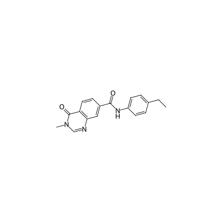 CCc1ccc(NC(=O)c2ccc3c(=O)n(C)cnc3c2)cc1